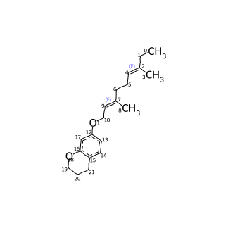 CC/C(C)=C/CC/C(C)=C/COc1ccc2c(c1)OCCC2